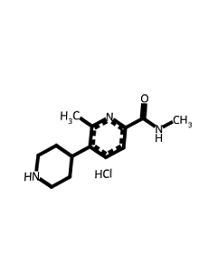 CNC(=O)c1ccc(C2CCNCC2)c(C)n1.Cl